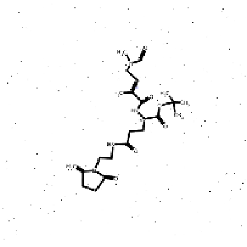 C=C1CCC(=O)N1CCNC(=O)CC[C@@H](NC(=O)/C(C)=C/CN(C)C=O)C(=O)OC(C)(C)C